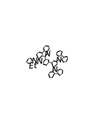 CCc1nc2c3c(-c4cccc(-c5cc(-n6c7ccccc7c7ccccc76)cc(-n6c7ccccc7c7ccccc76)c5)c4)nc4ccccc4c3ccc2n1-c1ccccc1